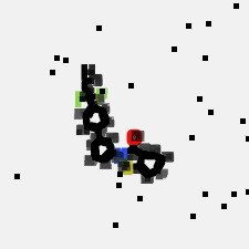 CC(F)(F)c1ccc(-c2cccc(-n3sc4ccccc4c3=O)c2)cc1